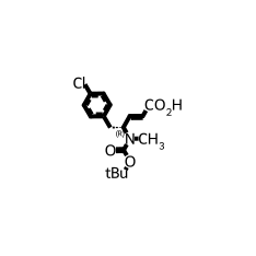 CN(C(=O)OC(C)(C)C)[C@@H](C=CC(=O)O)Cc1ccc(Cl)cc1